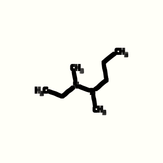 CCCB(C)N(C)CC